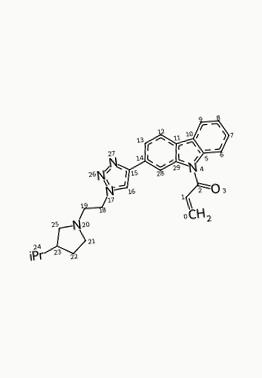 C=CC(=O)n1c2ccccc2c2ccc(-c3cn(CCN4CCC(C(C)C)C4)nn3)cc21